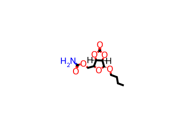 CCCCO[C@@H]1OC(COC(N)=O)[C@H]2OC(=O)O[C@@H]12